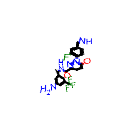 C[C@@H](NC(=O)c1ccc(=O)n(-c2ccc(C=N)cc2F)n1)c1cc(N)cc(C(F)(F)F)c1